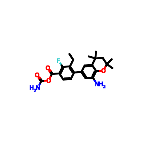 CCc1c(-c2cc(N)c3c(c2)C(C)(C)CC(C)(C)O3)ccc(C(=O)OC(N)=O)c1F